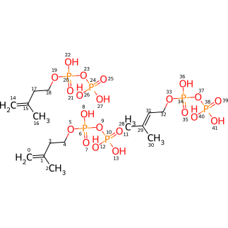 C=C(C)CCOP(=O)(O)OP(=O)(O)O.C=C(C)CCOP(=O)(O)OP(=O)(O)O.CC(C)=CCOP(=O)(O)OP(=O)(O)O